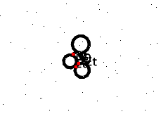 CC/C1=C(\N(C(=O)C2CCCCCCCCCC2CC)/C2=C(\C)CCCCCCCCCCC2C)CCCCCCCC1